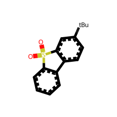 CC(C)(C)c1ccc2c(c1)S(=O)(=O)c1ccccc1-2